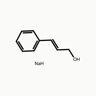 OCC=Cc1ccccc1.[NaH]